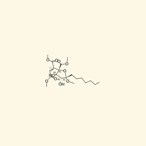 CCCCCCC[C@]1(OC)O[C@@](C(=O)OC)(/C(=C\C(=O)OC)C(=O)OC)[C@H](O)[C@H]1O